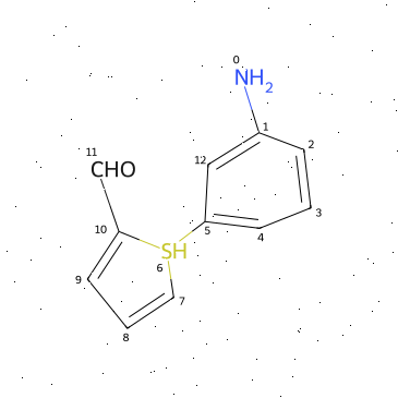 Nc1cccc([SH]2C=CC=C2C=O)c1